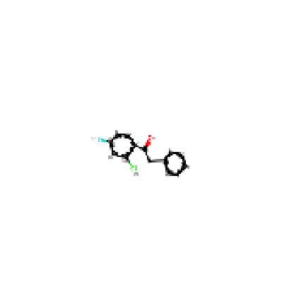 O=C(Cc1ccccc1)c1ccc(F)cc1Cl